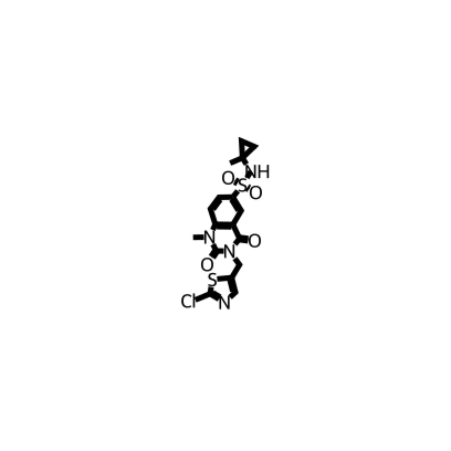 Cn1c(=O)n(Cc2cnc(Cl)s2)c(=O)c2cc(S(=O)(=O)NC3(C)CC3)ccc21